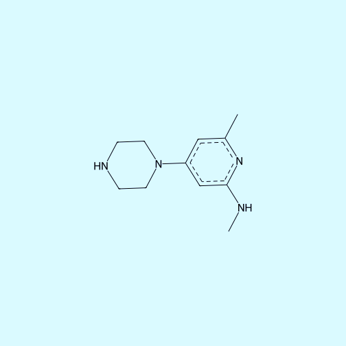 CNc1cc(N2CCNCC2)cc(C)n1